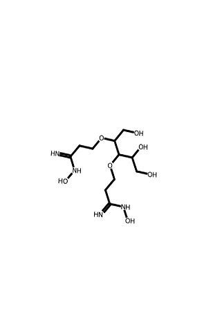 N=C(CCOC(CO)C(OCCC(=N)NO)C(O)CO)NO